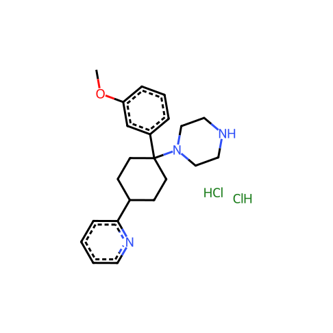 COc1cccc(C2(N3CCNCC3)CCC(c3ccccn3)CC2)c1.Cl.Cl